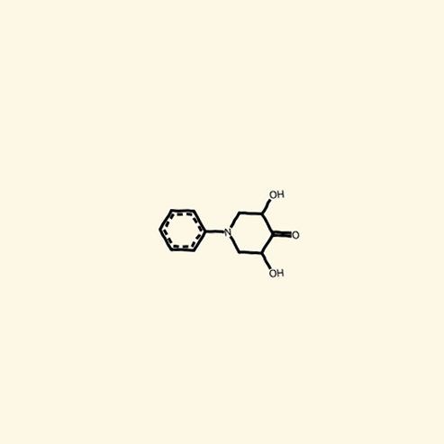 O=C1C(O)CN(c2ccccc2)CC1O